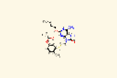 CCCCOc1nc(N)c2[nH]c(=O)n(CCSc3cc(OC(C)=O)ccc3C)c2n1